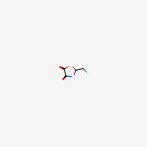 O=C1NC(CBr)OC1=O